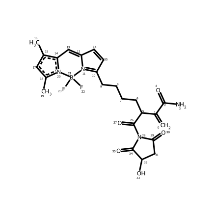 C=C(C(N)=O)C(CCCCC1=[N+]2C(=Cc3c(C)cc(C)n3[B-]2(F)F)C=C1)C(=O)N1C(=O)CC(O)C1=O